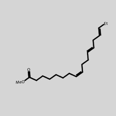 CCC=CCC=CCC/C=C\CCCCCCC(=O)OC